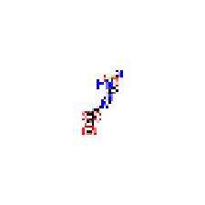 CN(C)CCS(=O)(=O)Nc1cccc(N2CCN(CCCCc3coc4cc5c(cc4c3=O)OCO5)CC2)c1